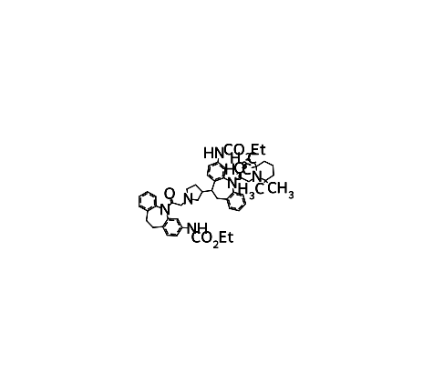 CCOC(=O)Nc1ccc2c(c1)N(C(=O)CN1CCC(C3Cc4ccccc4N(C(=O)CN4C(C)(C)CCCC4(C)C)c4cc(NC(=O)OCC)ccc43)C1)c1ccccc1CC2